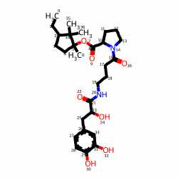 CCC1CCC(C)(OC(=O)C2CCCN2C(=O)CCCNC(=O)C(O)Cc2ccc(O)c(O)c2)C1(C)C